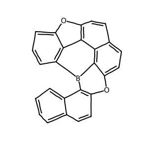 c1ccc2c3c(ccc2c1)Oc1ccc2ccc4oc5cccc6c5c4c2c1B36